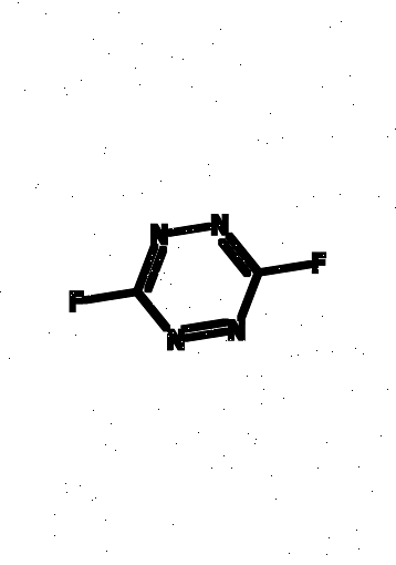 Fc1nnc(F)nn1